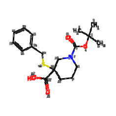 CC(C)(C)OC(=O)N1CCCC(SCc2ccccc2)(C(=O)O)C1